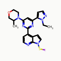 CCn1nccc1-c1cc(N2CCOCC2C)nc(-c2ccnc3c2ccn3SI)n1